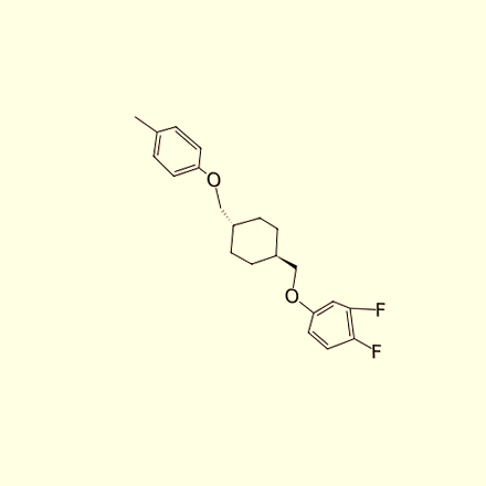 Cc1ccc(OC[C@H]2CC[C@H](COc3ccc(F)c(F)c3)CC2)cc1